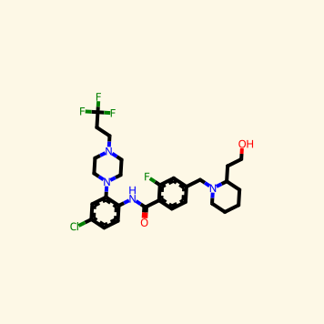 O=C(Nc1ccc(Cl)cc1N1CCN(CCC(F)(F)F)CC1)c1ccc(CN2CCCCC2CCO)cc1F